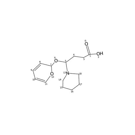 O=C(O)CCC(OC1C=CC=CO1)N1CCCCC1